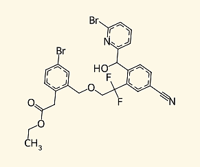 CCOC(=O)Cc1ccc(Br)cc1COCC(F)(F)c1cc(C#N)ccc1C(O)c1cccc(Br)n1